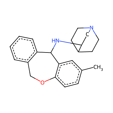 Cc1ccc2c(c1)C(NC1CN3CCC1CC3)c1ccccc1CO2